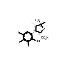 C[C@H]1[C@@H](c2cc(I)c(F)c(F)c2O)[C@@H](C(=O)O)O[C@@]1(C)C(F)(F)F